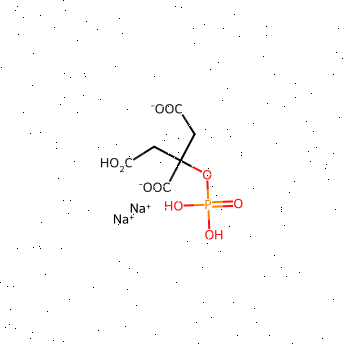 O=C([O-])CC(CC(=O)O)(OP(=O)(O)O)C(=O)[O-].[Na+].[Na+]